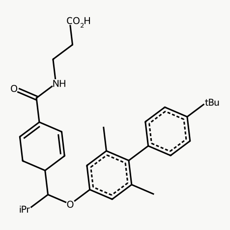 Cc1cc(OC(C(C)C)C2C=CC(C(=O)NCCC(=O)O)=CC2)cc(C)c1-c1ccc(C(C)(C)C)cc1